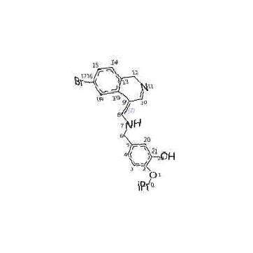 CC(C)Oc1ccc(CN/C=C2\C=NCc3ccc(Br)cc32)cc1O